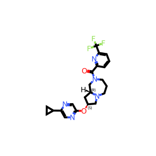 O=C(c1cccc(C(F)(F)F)n1)N1CCCN2C[C@@H](Oc3cnc(C4CC4)cn3)C[C@@H]2C1